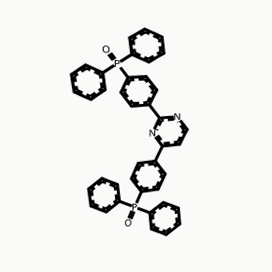 O=P(c1ccccc1)(c1ccccc1)c1ccc(-c2ccnc(-c3ccc(P(=O)(c4ccccc4)c4ccccc4)cc3)n2)cc1